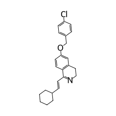 Clc1ccc(COc2ccc3c(c2)CCN=C3/C=C/C2CCCCC2)cc1